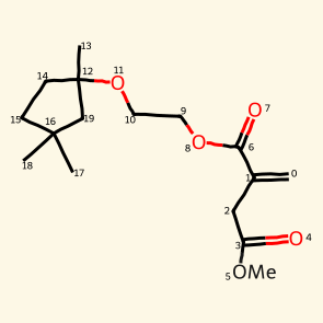 C=C(CC(=O)OC)C(=O)OCCOC1(C)CCC(C)(C)C1